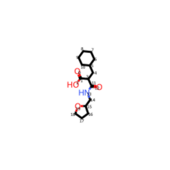 O=C(O)C(CC1CCCCC1)C(=O)NCC1CCCO1